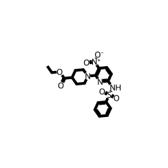 CCOC(=O)C1CCN(c2nc(NS(=O)(=O)c3ccccc3)ccc2[N+](=O)[O-])CC1